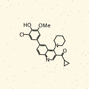 COc1cc(-c2ccc3ncc(C(=O)C4CC4)c(N4CCCCC4)c3c2)cc(Cl)c1O